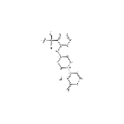 CS(=O)(=O)c1ccccc1CN1CCN(C2=C(Cl)C(=O)CN=C2)CC1